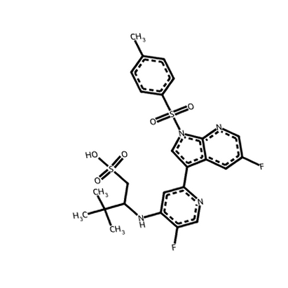 Cc1ccc(S(=O)(=O)n2cc(-c3cc(NC(CS(=O)(=O)O)C(C)(C)C)c(F)cn3)c3cc(F)cnc32)cc1